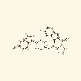 Cc1ccc2cc(C(=O)N3CCCC3CCN3CCC(c4noc5cc(F)ccc45)CC3)[nH]c2c1